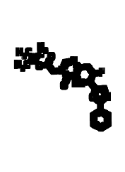 CC(C)(C)OC(=O)Cn1cnc2c(c1=O)NC(c1cnc(-c3ccccc3)o1)C(F)C2